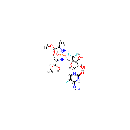 CC(C)OC(=O)C(C)NP(=O)(NC(C)C(=O)OC(C)C)OC[C@@]1(C(F)F)O[C@@H](n2cc(F)c(N)nc2=O)[C@H](O)[C@@H]1O